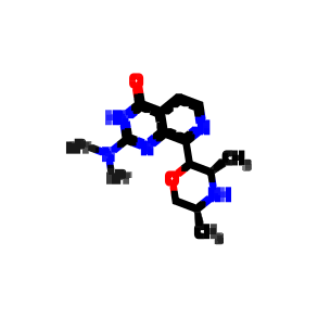 CCCN(CCC)c1nc2c(C3OC[C@H](C)N[C@@H]3C)nccc2c(=O)[nH]1